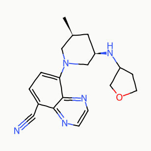 C[C@H]1C[C@@H](NC2CCOC2)CN(c2ccc(C#N)c3nccnc23)C1